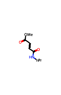 CCCNC(=O)C=CC(=O)OC